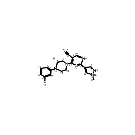 C[C@@H]1CN(c2nc(-c3cnn(C)c3)ncc2C#N)CCN1c1cccc(F)c1